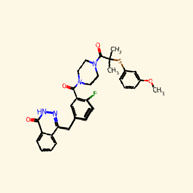 COc1cccc(SC(C)(C)C(=O)N2CCN(C(=O)c3cc(Cc4n[nH]c(=O)c5ccccc45)ccc3F)CC2)c1